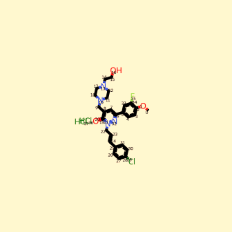 COc1ccc(-c2cc(CN3CCN(CCO)CC3)c(=O)n(C/C=C/c3ccc(Cl)cc3)n2)cc1F.Cl.Cl